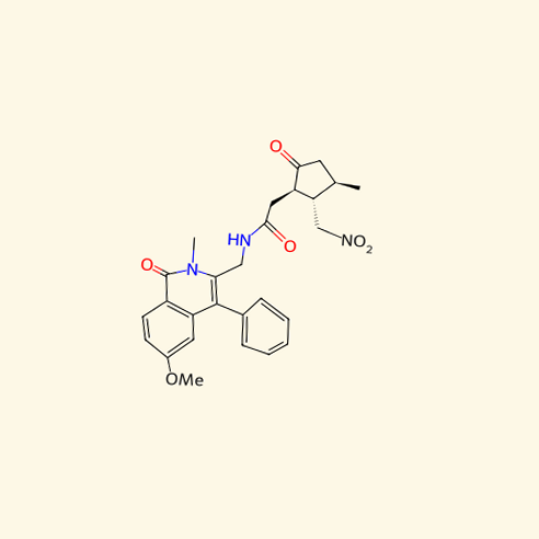 COc1ccc2c(=O)n(C)c(CNC(=O)C[C@H]3C(=O)C[C@@H](C)[C@@H]3C[N+](=O)[O-])c(-c3ccccc3)c2c1